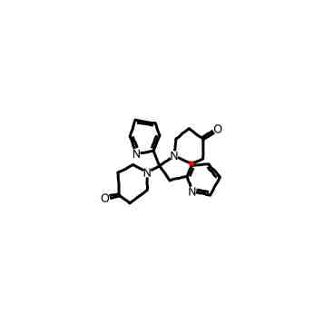 O=C1CCN(C(Cc2ccccn2)(c2ccccn2)N2CCC(=O)CC2)CC1